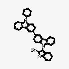 Brc1sc2ccccc2c1-n1c2ccccc2c2cc(-c3ccc4c(c3)c3ccccc3n4-c3ccccc3)ccc21